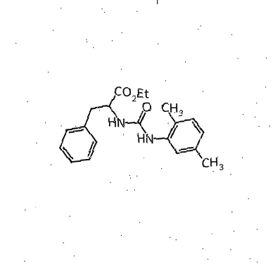 CCOC(=O)C(Cc1ccccc1)NC(=O)Nc1cc(C)ccc1C